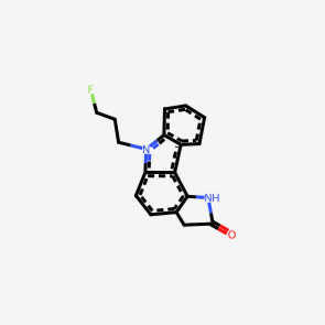 O=C1Cc2ccc3c(c2N1)c1ccccc1n3CCCF